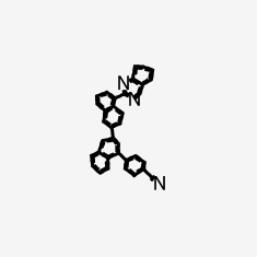 N#Cc1ccc(-c2cc(-c3ccc4c(-c5ncc6ccccc6n5)cccc4c3)cc3ccccc23)cc1